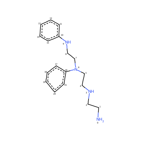 NCCNCCN(CCNc1ccccc1)c1ccccc1